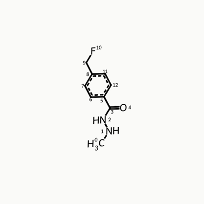 CNNC(=O)c1ccc(CF)cc1